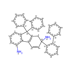 Nc1cccc2c1C1=C(CC(N)(c3ccccc3-c3ccccc3)C=C1)C2(c1ccccc1)c1ccccc1